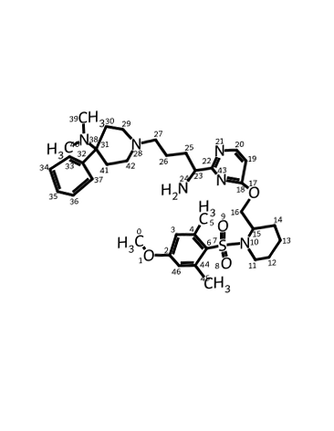 COc1cc(C)c(S(=O)(=O)N2CCCCC2COc2ccnc(C(N)CCCN3CCC(c4ccccc4)(N(C)C)CC3)n2)c(C)c1